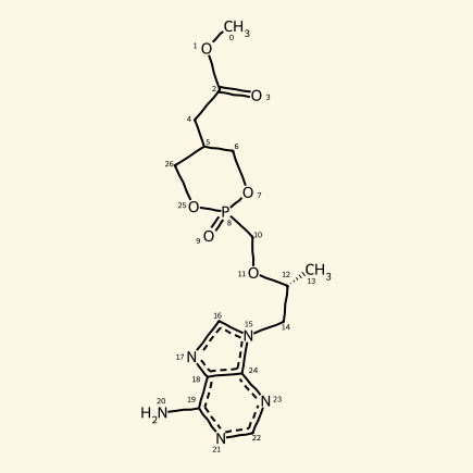 COC(=O)CC1COP(=O)(CO[C@H](C)Cn2cnc3c(N)ncnc32)OC1